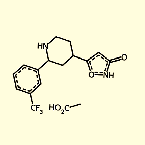 CC(=O)O.O=c1cc(C2CCNC(c3cccc(C(F)(F)F)c3)C2)o[nH]1